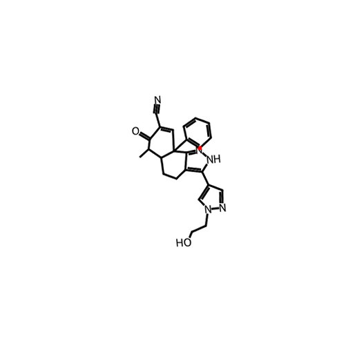 CC1C(=O)C(C#N)=CC2(c3ccccc3)c3n[nH]c(-c4cnn(CCO)c4)c3CCC12